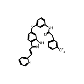 O=C(Cc1cccc(C(F)(F)F)c1)Nc1cccc(Sc2ccc3c(/C=C/c4ccccn4)n[nH]c3c2)c1